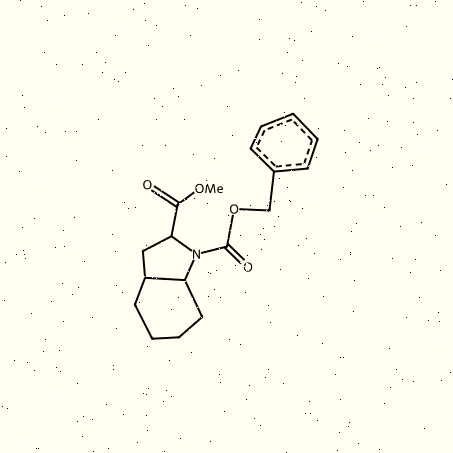 COC(=O)C1CC2CCCCC2N1C(=O)OCc1ccccc1